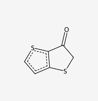 O=C1CSc2ccsc21